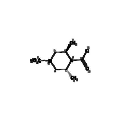 C[C@@H]1CN(C(=O)O)C[C@@H](C)N1C(=O)Cl